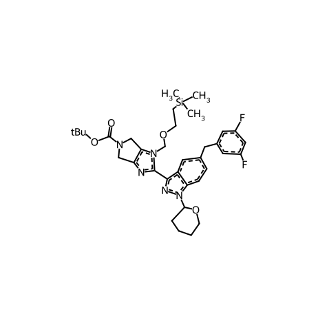 CC(C)(C)OC(=O)N1Cc2nc(-c3nn(C4CCCCO4)c4ccc(Cc5cc(F)cc(F)c5)cc34)n(COCC[Si](C)(C)C)c2C1